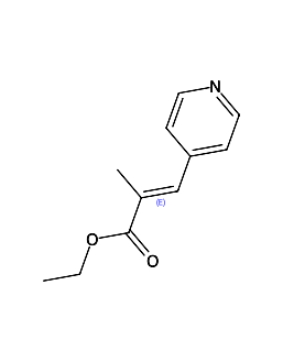 CCOC(=O)/C(C)=C/c1ccncc1